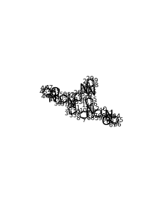 Cc1cc(N(c2ccccc2)c2ccc(-c3nc4ccccc4nc3-c3ccc(N(c4ccccc4)c4cc(C)c(-c5nc6ccccc6o5)cc4C)cc3)cc2)c(C)cc1-c1nc2ccccc2o1